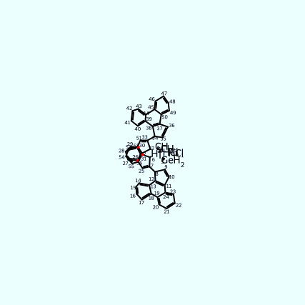 Cl.Cl.[CH3][Hf]([CH3])(=[GeH2])([CH]1C(C2C=Cc3c2c2ccccc2c2ccccc32)=Cc2ccccc21)[CH]1C(C2C=Cc3c2c2ccccc2c2ccccc32)=Cc2ccccc21